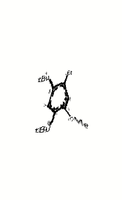 CCc1cc(OC)c(C(C)(C)C)cc1C(C)(C)C